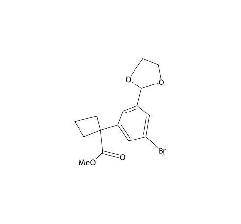 COC(=O)C1(c2cc(Br)cc(C3OCCO3)c2)CCC1